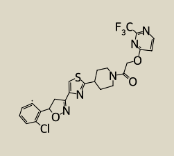 O=C(COc1ccnc(C(F)(F)F)n1)N1CCC(c2nc(C3=NOC(c4[c]cccc4Cl)C3)cs2)CC1